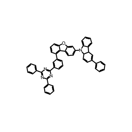 C1=CC2C(C=C1c1ccccc1)c1ccccc1N2c1ccc2c(c1)oc1cccc(-c3cccc(-c4nc(-c5ccccc5)nc(-c5ccccc5)n4)c3)c12